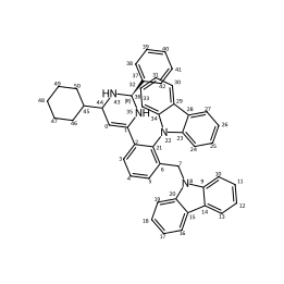 C1=C(c2cccc(Cn3c4ccccc4c4ccccc43)c2-n2c3ccccc3c3ccccc32)N[C@H](c2ccccc2)NC1C1CCCCC1